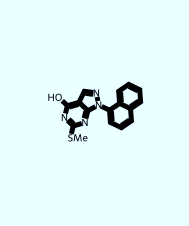 CSc1nc(O)c2cnn(-c3cccc4ccccc34)c2n1